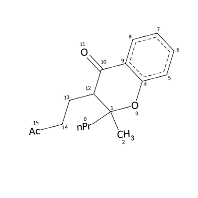 CCCC1(C)Oc2ccccc2C(=O)C1CCC(C)=O